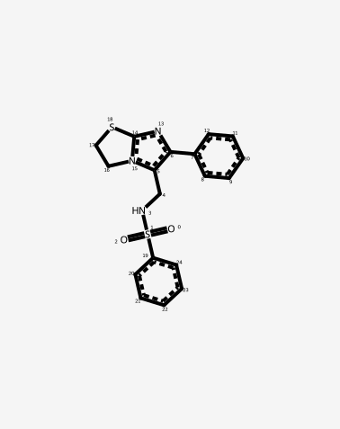 O=S(=O)(NCc1c(-c2ccccc2)nc2n1CCS2)c1ccccc1